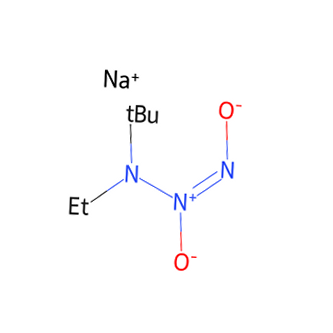 CCN(/[N+]([O-])=N\[O-])C(C)(C)C.[Na+]